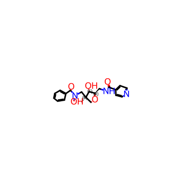 C[C@@]1(CN(O)C(=O)c2ccccc2)CO[C@H](CNC(=O)c2ccncc2)[C@H]1O